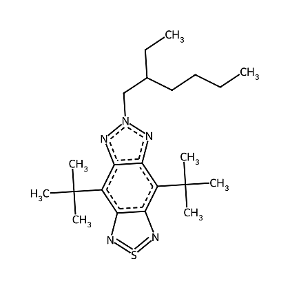 CCCCC(CC)Cn1nc2c(C(C)(C)C)c3c(c(C(C)(C)C)c2n1)N=S=N3